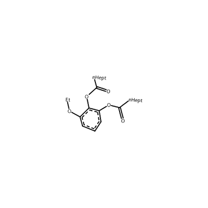 CCCCCCCC(=O)Oc1cccc(OCC)c1OC(=O)CCCCCCC